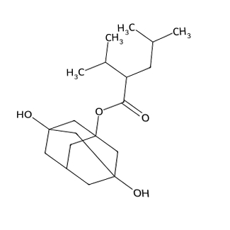 CC(C)CC(C(=O)OC12CC3CC(O)(CC(O)(C3)C1)C2)C(C)C